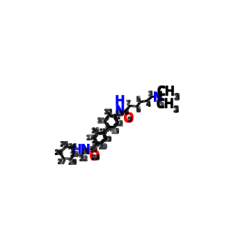 CN(C)CCCCCC(=O)Nc1ccc(-c2ccc(C(=O)NCC3CCCCC3)cc2)cc1